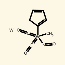 [CH3][W](=[C]=O)(=[C]=O)([N]=O)[C]1=CC=CC1.[W]